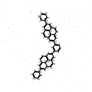 C1=Cc2cc(-c3cccc(-c4cc5ccc6cc(-c7cccnc7)cc7ccc(c4)c5c67)c3)cc3c2C2C1=CC(c1ccccc1)=CC2C=C3